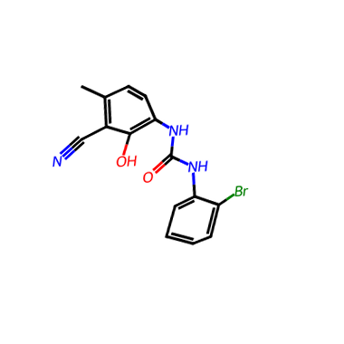 Cc1ccc(NC(=O)Nc2ccccc2Br)c(O)c1C#N